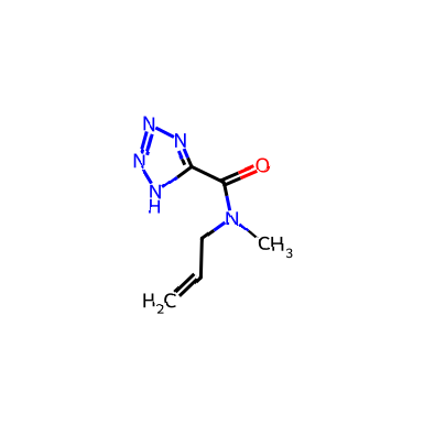 C=CCN(C)C(=O)c1nnn[nH]1